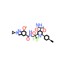 C#Cc1ccc(-c2nc(C(O)(CNC(=O)c3cc(OC)c4nn(C5CC5)cc4c3)C(F)(F)F)cc3c2OC[C@]3(C)C(N)=O)cc1